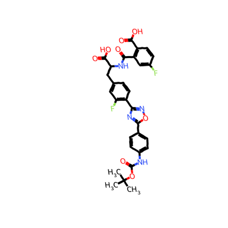 CC(C)(C)OC(=O)Nc1ccc(-c2nc(-c3ccc(CC(NC(=O)c4cc(F)ccc4C(=O)O)C(=O)O)cc3F)no2)cc1